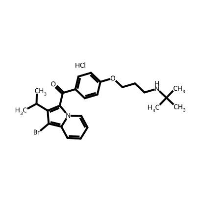 CC(C)c1c(Br)c2ccccn2c1C(=O)c1ccc(OCCCNC(C)(C)C)cc1.Cl